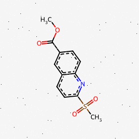 COC(=O)c1ccc2nc(S(C)(=O)=O)ccc2c1